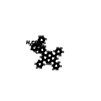 CC1(C)CCCC2(C)c3cc(-c4cc(-c5ccccc5)c5ccc6c(-c7ccccc7)cc(-c7ccccc7)c7ccc4c5c67)ccc3N(c3ccccc3)C12C